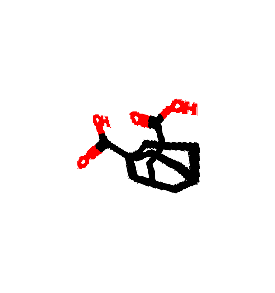 O=C(O)C12C[C]3CC(C1)CC(C(=O)O)(C3)C2